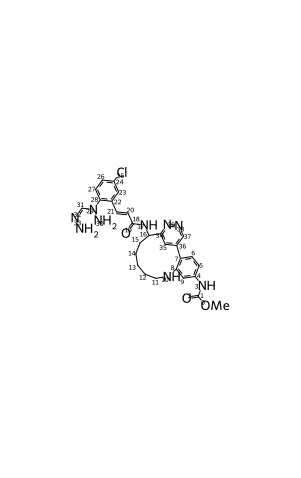 COC(=O)Nc1ccc2c(c1)NCCCCCC(NC(=O)/C=C/c1cc(Cl)ccc1N(N)/C=N\N)c1cc-2cnn1